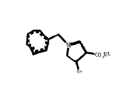 CCOC(=O)C1CN(Cc2ccccc2)CC1CC